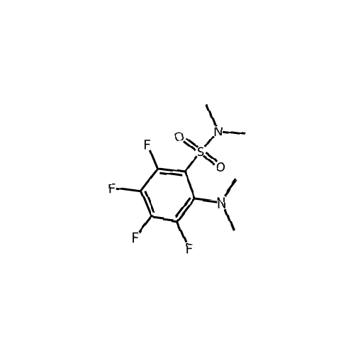 CN(C)c1c(F)c(F)c(F)c(F)c1S(=O)(=O)N(C)C